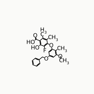 COc1cc(OCc2ccccc2)cc(Oc2c(C)c(C)c(C(=O)O)c(O)c2F)c1C